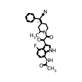 CC(=O)Nc1ccc(F)c2c(C(=O)C(=O)N3CC/C(=C(\C#N)c4ccccc4)CC3C)c[nH]c12